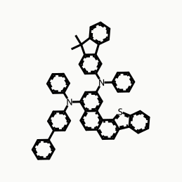 CC1(C)c2ccccc2-c2cc(N(c3ccccc3)c3cc(N(c4ccccc4)c4ccc(-c5ccccc5)cc4)c4ccc5ccc6c7ccccc7sc6c5c4c3)ccc21